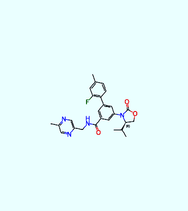 Cc1ccc(-c2cc(C(=O)NCc3cnc(C)cn3)cc(N3C(=O)OC[C@H]3C(C)C)c2)c(F)c1